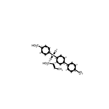 C/C=C/C(=O)O.O=C(O)c1ccc(S(=O)(=O)c2ccc(-c3ccc([N+](=O)[O-])cc3)cc2)cc1